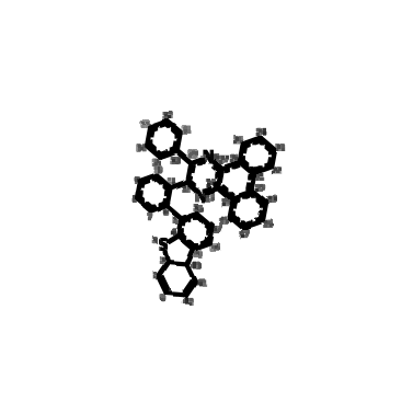 C1=CC2Sc3c(-c4ccccc4-c4nc5c6ccccc6c6ccccc6c5nc4-c4ccccc4)cccc3C2C=C1